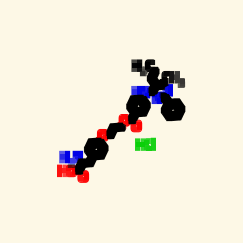 C=CCc1c(C)nc(-c2ccccc2)nc1Nc1ccc(C(=O)OCCCOc2ccc(C[C@H](N)C(=O)O)cc2)cc1.Cl